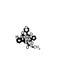 CCOC(=O)[C@H](Cc1c[nH]c2ccccc12)NC(=O)C1(NC(=O)[C@@H](SC(C)=O)C2CCOCC2)CCCC1